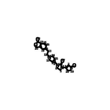 O=C1C=C(N2CCN(C3C4CN(CCc5ccc6c(c5)COC6=O)CC43)C2=O)CC1